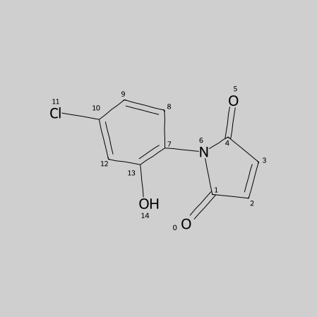 O=C1C=CC(=O)N1c1ccc(Cl)cc1O